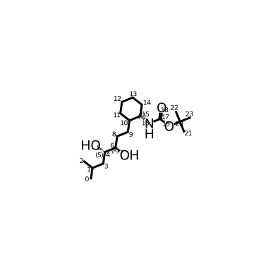 CC(C)C[C@H](O)[C@H](O)CCC1CCCC[C@@H]1NC(=O)OC(C)(C)C